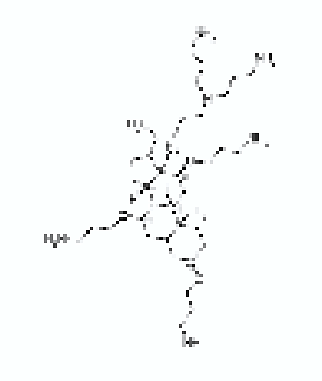 CC(CCCN(CCCN)CCCN)C1CC[C@H]2C3[C@H](OCCCN)CC4C[C@H](OCCCN)CCC4(C)[C@H]3C[C@H](OCCCN)C12C